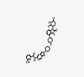 Cn1c(=O)n(C2CCC(=O)NC2=O)c2cccc(N3CCN(C[C@H]4CC[C@H](n5cc6cc(NC(=O)c7cccc(C#N)n7)ncc6n5)CC4)CC3)c21